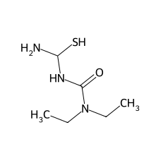 CCN(CC)C(=O)NC(N)S